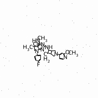 C=C1C2CN(c3ccnc(OC)c3)CC2C1Nc1nc(NC)c2c(n1)N(c1ccc(F)cc1)CC2(C)C